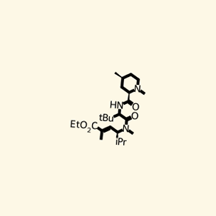 CCOC(=O)/C(C)=C/[C@H](C(C)C)N(C)C(=O)C(NC(=O)[C@H]1C[C@@H](C)CCN1C)C(C)(C)C